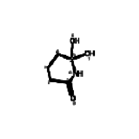 O=C1CCCS(O)(O)N1